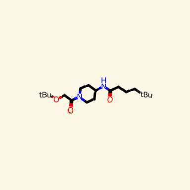 CC(C)(C)CCCC(=O)NC1CCN(C(=O)COC(C)(C)C)CC1